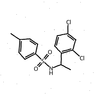 Cc1ccc(S(=O)(=O)NC(C)c2ccc(Cl)cc2Cl)cc1